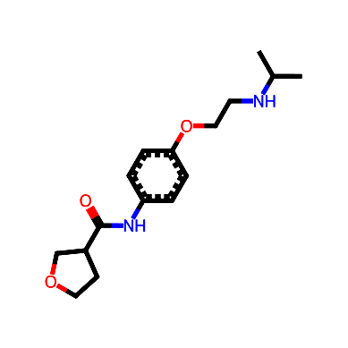 CC(C)NCCOc1ccc(NC(=O)C2CCOC2)cc1